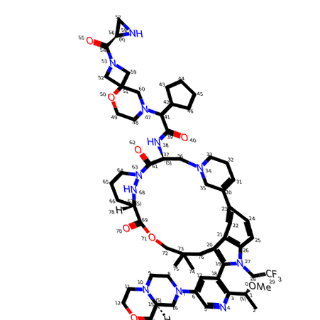 CO[C@@H](C)c1ncc(N2CCN3CCOC[C@@H]3C2)cc1-c1c2c3cc(ccc3n1CC(F)(F)F)C1=CCCN(C1)C[C@H](NC(=O)C(C1CCCC1)N1CCOC3(CN(C(=O)[C@H]4CN4)C3)C1)C(=O)N1CCC[C@H](N1)C(=O)OCC(C)(C)C2